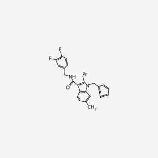 Cc1ccc2c(C(=O)NCc3ccc(F)c(F)c3)c(C(C)C)n(Cc3ccccc3)c2c1